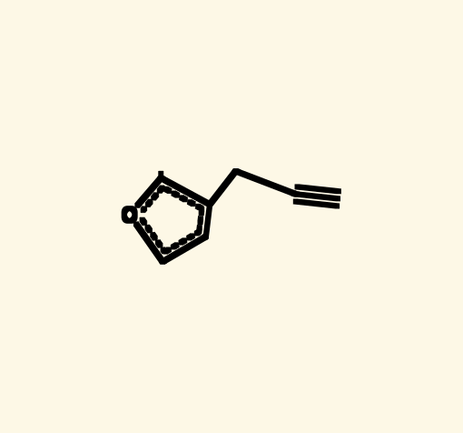 C#CCc1[c]occ1